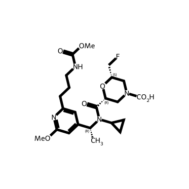 COC(=O)NCCCc1cc([C@@H](C)N(C(=O)[C@H]2CN(C(=O)O)C[C@@H](CF)O2)C2CC2)cc(OC)n1